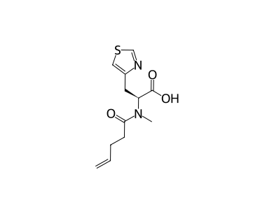 C=CCCC(=O)N(C)[C@@H](Cc1cscn1)C(=O)O